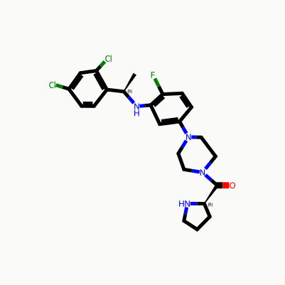 C[C@@H](Nc1cc(N2CCN(C(=O)[C@H]3CCCN3)CC2)ccc1F)c1ccc(Cl)cc1Cl